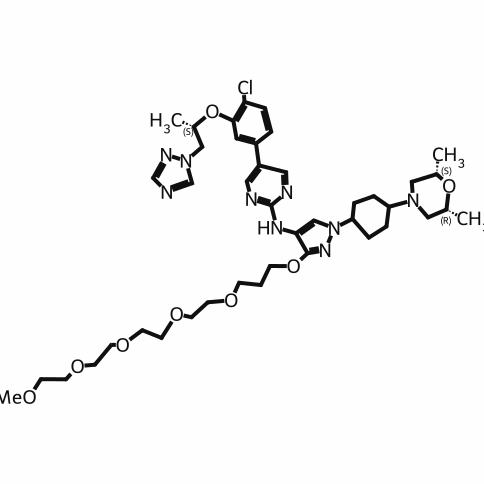 COCCOCCOCCOCCOCCCOc1nn(C2CCC(N3C[C@@H](C)O[C@@H](C)C3)CC2)cc1Nc1ncc(-c2ccc(Cl)c(O[C@@H](C)Cn3cncn3)c2)cn1